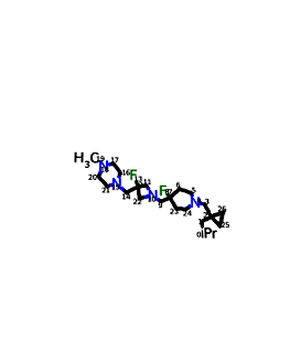 CC(C)CC1(CN2CCC(F)(CN3CC(F)(CN4CCN(C)CC4)C3)CC2)CC1